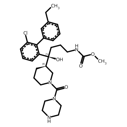 CCc1cccc(-c2c(Cl)cccc2[C@](O)(CCCNC(=O)OC)[C@@H]2CCCN(C(=O)N3CCNCC3)C2)c1